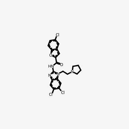 O=C(Nc1nc2cc(Cl)c(Cl)cc2n1CCN1CCCC1)c1cc2cc(Cl)ccc2o1